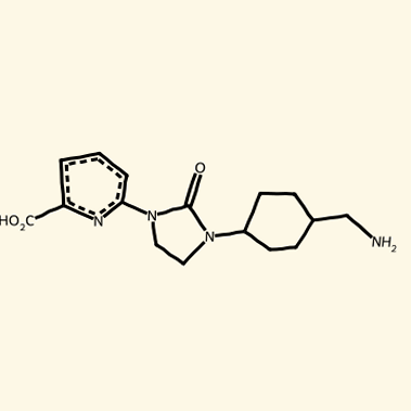 NCC1CCC(N2CCN(c3cccc(C(=O)O)n3)C2=O)CC1